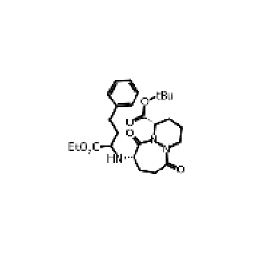 CCOC(=O)[C@@H](CCc1ccccc1)N[C@H]1CCC(=O)N2CCC[C@@H](C(=O)OC(C)(C)C)N2C1=O